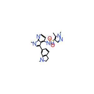 Cc1c(S(=O)(=O)Nc2ccnc3c2c(-c2ccc4c(c2)N(C)CC4)cn3C)cnn1C